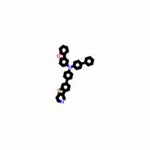 c1ccc(-c2ccc(N(c3ccc(-c4ccc5c(c4)sc4ccncc45)cc3)c3ccc4oc5ccccc5c4c3)cc2)cc1